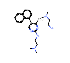 CN(C)CCN.CN(C)CCNc1ncc(-c2cccc3ccccc23)c(C(=O)O)n1